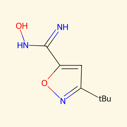 CC(C)(C)c1cc(C(=N)NO)on1